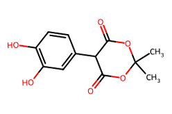 CC1(C)OC(=O)C(c2ccc(O)c(O)c2)C(=O)O1